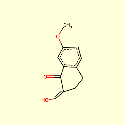 COc1ccc2c(c1)C(=O)C(=CO)CC2